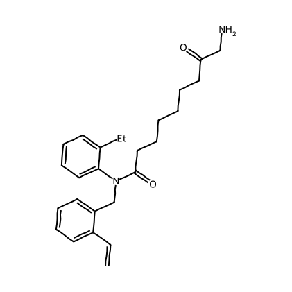 C=Cc1ccccc1CN(C(=O)CCCCCCC(=O)CN)c1ccccc1CC